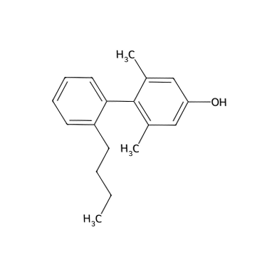 CCCCc1ccccc1-c1c(C)cc(O)cc1C